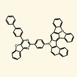 c1ccc(-c2ccc(-c3nc(-c4ccc(-n5c6ccc7ccccc7c6c6c7c8ccccc8n8c9ccccc9c(cc65)c78)cc4)nc4c3oc3ccccc34)cc2)cc1